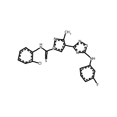 Cc1nn(C(=S)Nc2ccccc2Cl)cc1-c1nsc(Nc2cccc(F)c2)n1